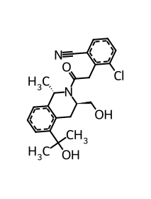 C[C@H]1c2cccc(C(C)(C)O)c2C[C@H](CO)N1C(=O)Cc1c(Cl)cccc1C#N